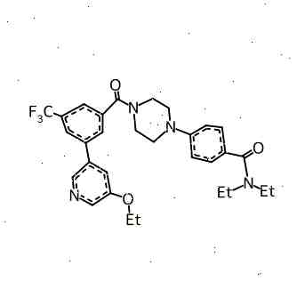 CCOc1cncc(-c2cc(C(=O)N3CCN(c4ccc(C(=O)N(CC)CC)cc4)CC3)cc(C(F)(F)F)c2)c1